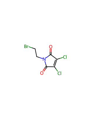 O=C1C(Cl)=C(Cl)C(=O)N1CCBr